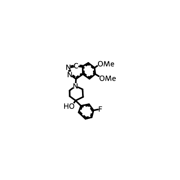 COc1cc2cnnc(N3CCC(O)(c4cccc(F)c4)CC3)c2cc1OC